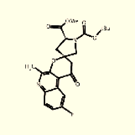 COC(=O)[C@@H]1C[C@]2(CC(=O)c3c(c(C)nc4ccc(F)cc34)O2)CN1C(=O)OC(C)(C)C